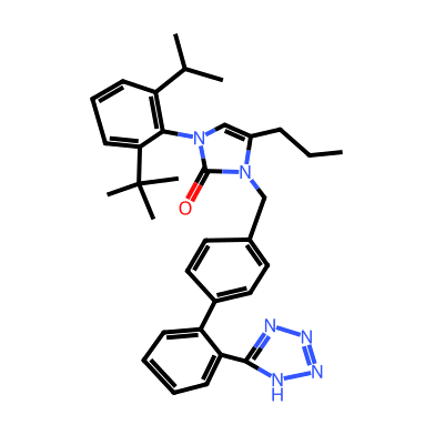 CCCc1cn(-c2c(C(C)C)cccc2C(C)(C)C)c(=O)n1Cc1ccc(-c2ccccc2-c2nnn[nH]2)cc1